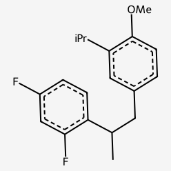 COc1ccc(CC(C)c2ccc(F)cc2F)cc1C(C)C